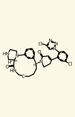 O=C1NCCCCC[C@H](N2CCC(c3cc(Cl)ccc3-n3cc(Cl)nn3)=CC2=O)c2cccc(c2)N2CCNC[C@H]12